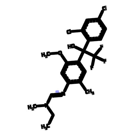 CCN(C)/C=N/c1cc(OC)c(C(O)(c2ccc(Cl)cc2Cl)C(F)(F)F)cc1C